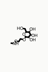 CNOCCOC1OC(CO)[C@@H](O)[C@H](O)[C@@H]1O